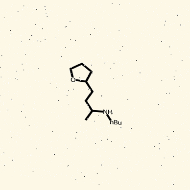 CCCCNC(C)CCC1CCCO1